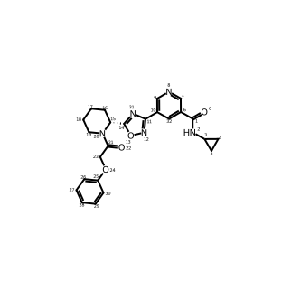 O=C(NC1CC1)c1cncc(-c2noc([C@H]3CCCCN3C(=O)COc3ccccc3)n2)c1